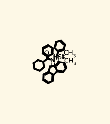 C[SiH](C)[Hf]([NH]C(=O)C1CCCCC1)([c]1ccccc1)([c]1ccccc1)[c]1cccc2c1Cc1ccccc1-2